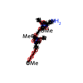 COCCOCCOCCOCCOc1ccc(C2=CN3C(=O)c4cc(OC)c(OCCCCCOc5cc6c(cc5OC)C(=O)N5C=C(c7ccc(N)cc7)C[C@@H]5C(=O)N6COCC[Si](C)(C)C)cc4N(COCC[Si](C)(C)C)C(=O)[C@H]3C2)cc1